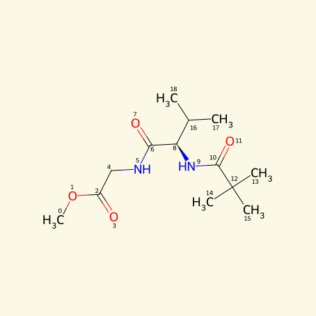 COC(=O)CNC(=O)[C@H](NC(=O)C(C)(C)C)C(C)C